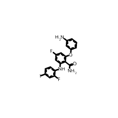 NC(=O)c1c(Nc2ccc(I)cc2F)cc(F)cc1Oc1cccc(N)c1